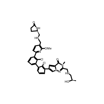 COc1nc(-c2cccc(-c3cccc(-c4cc5c(=O)n(C)c(CNC[C@@H](C)O)nn5c4)c3Cl)c2Cl)ccc1CNC[C@H]1CCC(=O)N1